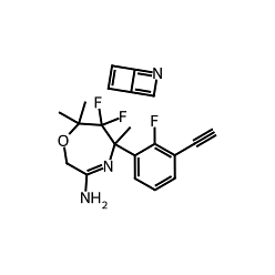 C#Cc1cccc(C2(C)N=C(N)COC(C)(C)C2(F)F)c1F.c1cc2ncc1-2